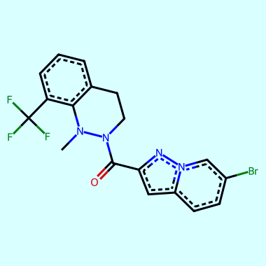 CN1c2c(cccc2C(F)(F)F)CCN1C(=O)c1cc2ccc(Br)cn2n1